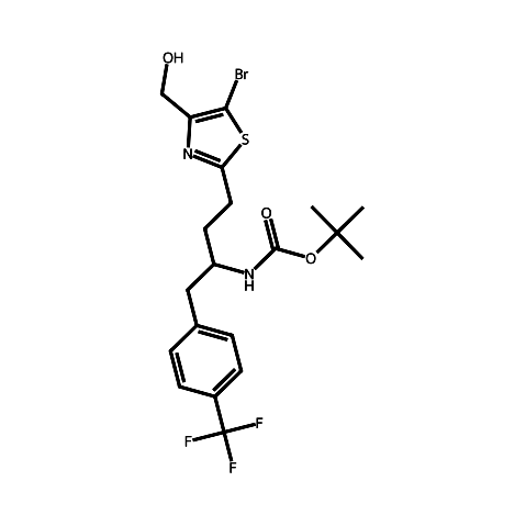 CC(C)(C)OC(=O)NC(CCc1nc(CO)c(Br)s1)Cc1ccc(C(F)(F)F)cc1